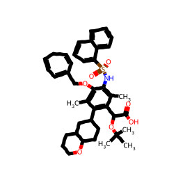 Cc1c(OCC2=CC=CCC=C2)c(NS(=O)(=O)c2cccc3ccccc23)c(C)c(C(OC(C)(C)C)C(=O)O)c1C1CCC2OCCCC2C1